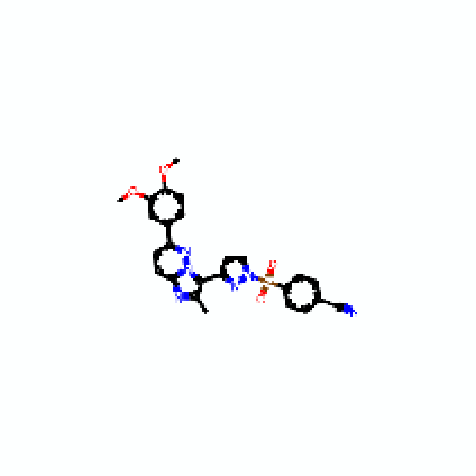 COc1ccc(-c2ccc3nc(C)c(-c4ccn(S(=O)(=O)c5ccc(C#N)cc5)n4)n3n2)cc1OC